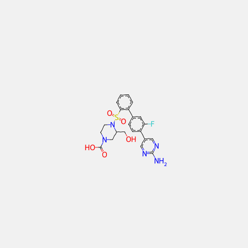 Nc1ncc(-c2ccc(-c3ccccc3S(=O)(=O)N3CCN(C(=O)O)CC3CO)cc2F)cn1